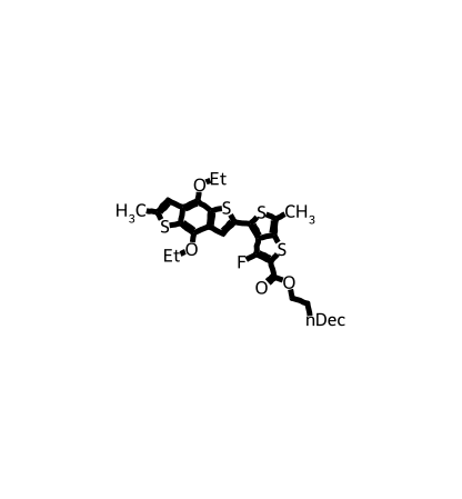 CCCCCCCCCCCCOC(=O)c1sc2c(C)sc(-c3cc4c(OCC)c5sc(C)cc5c(OCC)c4s3)c2c1F